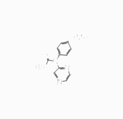 COc1ccc(N(C(=O)C(C)(C)C)c2cnccn2)cc1